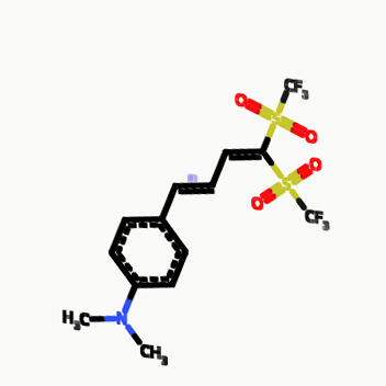 CN(C)c1ccc(/C=C/C=C(S(=O)(=O)C(F)(F)F)S(=O)(=O)C(F)(F)F)cc1